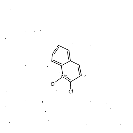 [O-][n+]1c(Cl)ccc2ccccc21